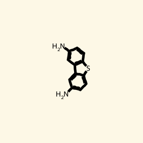 Nc1ccc2sc3ccc(N)cc3c2c1